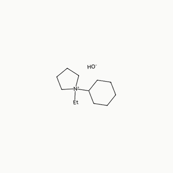 CC[N+]1(C2CCCCC2)CCCC1.[OH-]